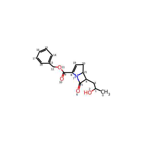 CC(O)CC1C(=O)N2C(C(=O)OCc3ccccc3)=CCC12